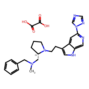 CN(Cc1ccccc1)C[C@@H]1CCCN1CCc1c[nH]c2cnc(-n3cncn3)cc12.O=C(O)C(=O)O